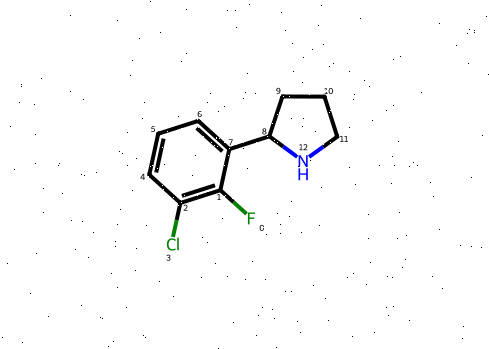 Fc1c(Cl)cccc1C1CCCN1